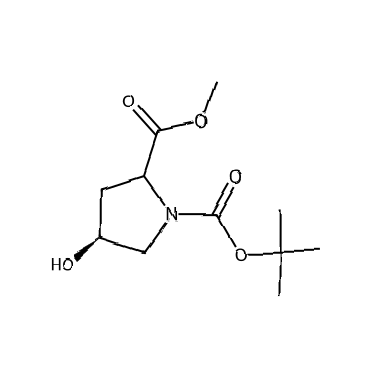 COC(=O)C1C[C@H](O)CN1C(=O)OC(C)(C)C